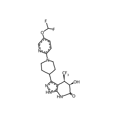 O=C1Nc2[nH]nc(C3CCN(c4ccc(OC(F)F)cn4)CC3)c2[C@@H](C(F)(F)F)[C@H]1O